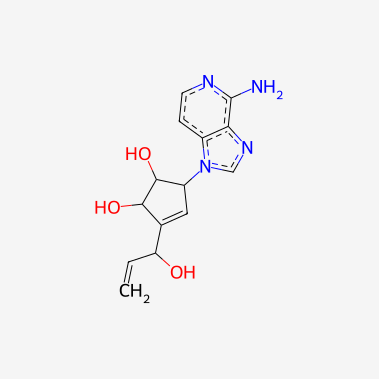 C=CC(O)C1=CC(n2cnc3c(N)nccc32)C(O)C1O